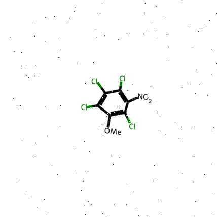 COc1c(Cl)c(Cl)c(Cl)c([N+](=O)[O-])c1Cl